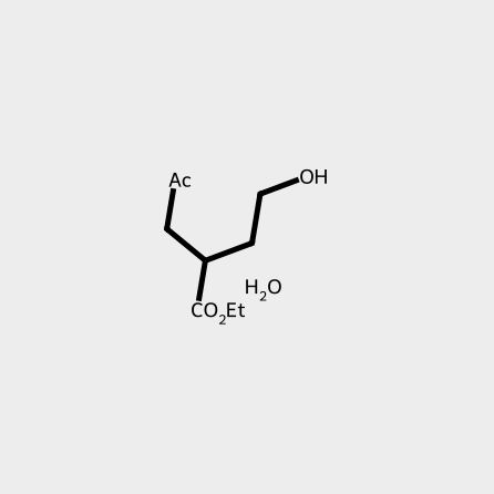 CCOC(=O)C(CCO)CC(C)=O.O